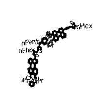 CCCCCCc1csc(C#Cc2ccc3c4ccc5c6c(ccc(c7cccc2c73)c64)C(=O)N(c2c(C(C)C)cc(C(CCCCC)c3csc(-c4sc(-c6ccc7c8ccc9c%10c(ccc(c%11cccc6c%117)c%108)C(=O)N(c6c(C(C)C)cccc6C(C)C)C9=O)cc4CCCCCC)c3)cc2C(C)C)C5=O)c1